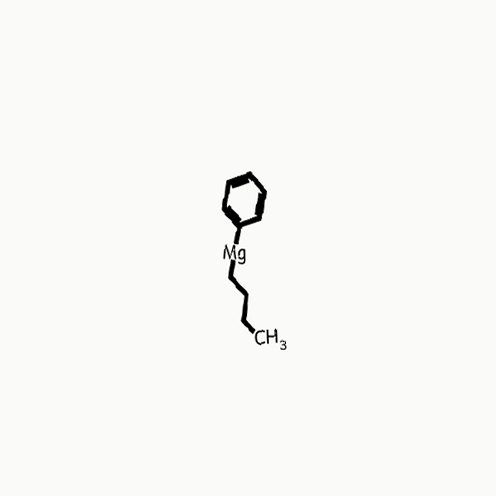 CCC[CH2][Mg][c]1ccccc1